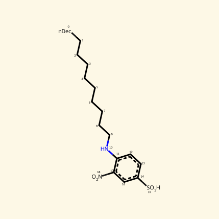 CCCCCCCCCCCCCCCCCCCNc1ccc(S(=O)(=O)O)cc1[N+](=O)[O-]